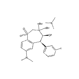 CCCCC1(CCCC)CS(=O)(=O)c2ccc(N(C)C)cc2[C@H](c2cccc(I)c2)[C@@H]1O.CN(C)C